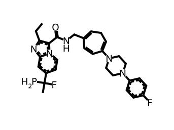 CCc1nc2cc(C(C)(F)P)ccn2c1C(=O)NCC1=CCC=C(N2CCN(c3ccc(F)cc3)CC2)C=C1